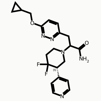 NC(=O)C(Cc1ccc(OCC2CC2)nn1)N1CCC(F)(F)[C@@H](c2ccncc2)C1